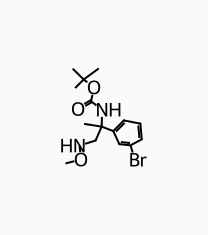 CONCC(C)(NC(=O)OC(C)(C)C)c1cccc(Br)c1